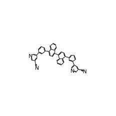 N#Cc1cncc(-c2cccc(-c3ccc(-c4ccc(-c5cccc(-c6cncc(C#N)c6)c5)c5ccccc45)c4ccccc34)c2)c1